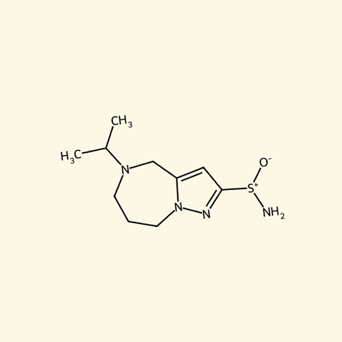 CC(C)N1CCCn2nc([S+](N)[O-])cc2C1